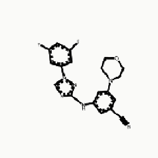 N#Cc1cc(Nc2ncn(-c3cc(F)cc(F)c3)n2)cc(N2CCOCC2)c1